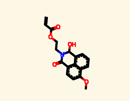 C=CC(=O)OCCN1C(=O)c2ccc(OC)c3cccc(c23)C1O